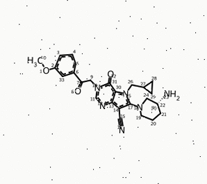 COc1cccc(C(=O)Cn2cnc3c(C#N)c(N4CCC[C@@H](N)C4)n(CC4CC4)c3c2=O)c1